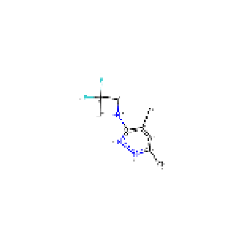 Cc1cc(C#N)nnc1N1CC(F)(F)C1